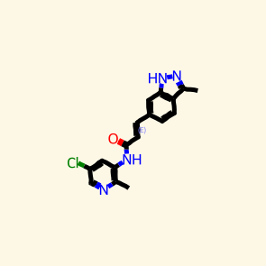 Cc1ncc(Cl)cc1NC(=O)/C=C/c1ccc2c(C)n[nH]c2c1